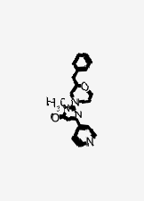 Cn1c(N2CCOC(Cc3ccccc3)C2)nc(-c2ccncc2)cc1=O